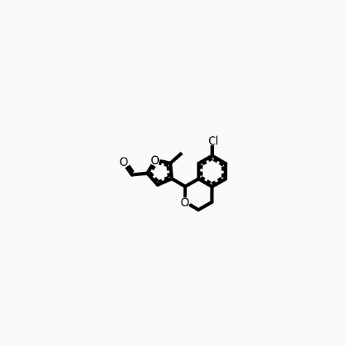 Cc1oc(C=O)cc1C1OCCc2ccc(Cl)cc21